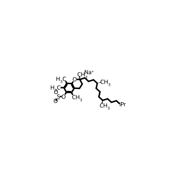 Cc1c(C)c2c(c(C)c1OS(=O)[O-])CC[C@@](C)(CCC[C@H](C)CCC[C@H](C)CCCC(C)C)O2.[Na+]